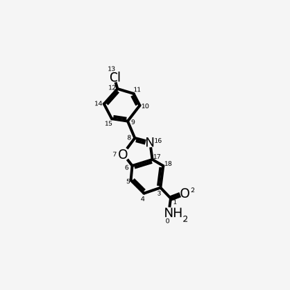 NC(=O)c1ccc2oc(-c3ccc(Cl)cc3)nc2c1